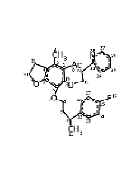 CC(=O)c1c(C)c2c(c(OCCC(C)c3ccc(F)cc3)c1OCCc1ccccn1)OCC2